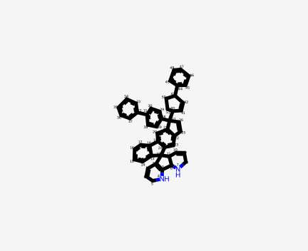 C1=CC2=C(NC1)C1NCC=CC1C21c2ccccc2-c2cc3c(cc21)C=CC3(c1ccc(-c2ccccc2)cc1)C1C=CC(c2ccccc2)CC1